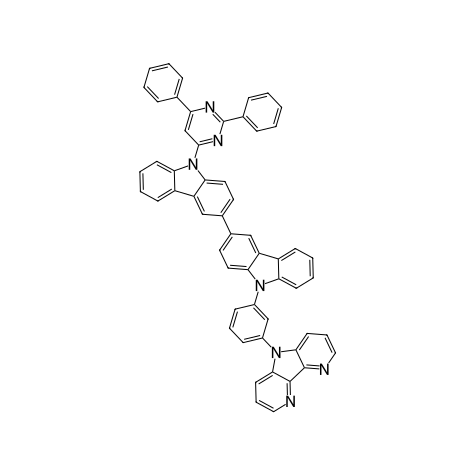 c1ccc(-c2cc(-n3c4ccccc4c4cc(-c5ccc6c(c5)c5ccccc5n6-c5cccc(-n6c7cccnc7c7ncccc76)c5)ccc43)nc(-c3ccccc3)n2)cc1